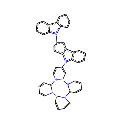 C1=CB2N(C=C1)B1C=CC=CN1B1C=C(n3c4ccccc4c4cc(-n5c6ccccc6c6ccccc65)ccc43)C=CN1B1C=CC=CN21